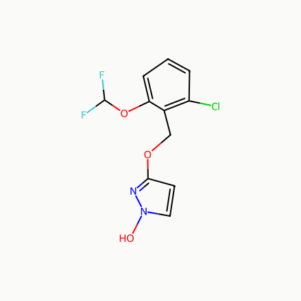 On1ccc(OCc2c(Cl)cccc2OC(F)F)n1